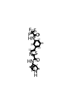 O=C(NC1CC2CC1CN2)c1ncc(-c2cccc(NC(=O)C(F)(F)F)c2)s1